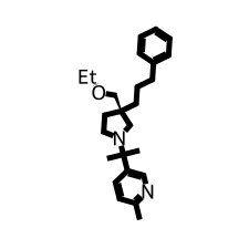 CCOC[C@]1(CCCc2ccccc2)CCN(C(C)(C)c2ccc(C)nc2)C1